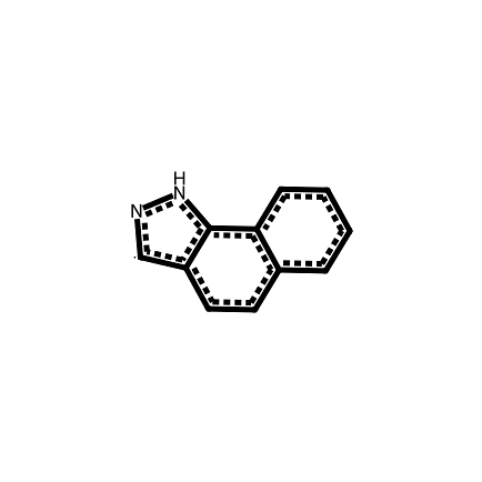 [c]1n[nH]c2c1ccc1ccccc12